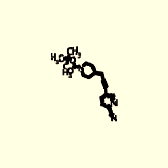 CC(C)(C)OC(=O)N1CCC(=CC#Cc2ccc(C#N)nc2)CC1